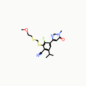 COCCSCSc1c(F)c(-c2cc(=O)n(C)cn2)cc(C(C)C)c1C#N